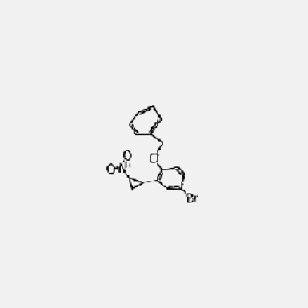 O=[N+]([O-])C1CC1c1cc(Br)ccc1OCc1ccccc1